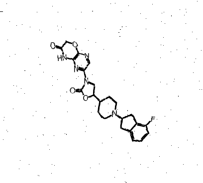 O=C1COc2ncc(N3CC(C4CCN(C5Cc6cccc(F)c6C5)CC4)OC3=O)nc2N1